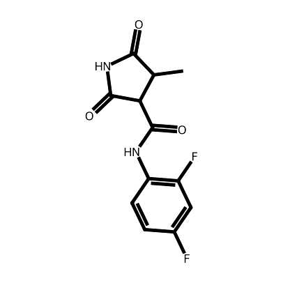 CC1C(=O)NC(=O)C1C(=O)Nc1ccc(F)cc1F